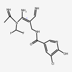 CC(=N)N(/C(N)=C(/C=N)CNC(=O)c1cnc(O)c(Cl)c1)C(F)F